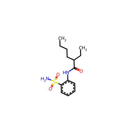 CCCCC(CC)C(=O)Nc1ccccc1S(N)(=O)=O